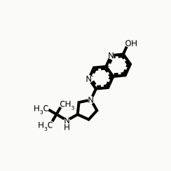 CC(C)(C)NC1CCN(c2cc3ccc(O)nc3cn2)C1